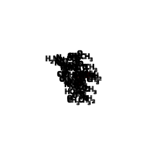 CC[C@H]1O[C@@H](n2cnc3c(N)ncnc32)CC1OP(O)(=S)OC[C@H]1O[C@@H](n2cnc3c(N)ncnc32)[C@@H](OCCOC)C1OP(O)(=S)OC[C@H]1O[C@@H](n2cc(C)c(=O)[nH]c2=O)[C@@H](OCCOC)C1OP(O)(=S)OC[C@H]1O[C@@H](n2cc(C)c(N)nc2=O)[C@@H](OCCOC)C1OP(O)(=S)OC[C@H]1O[C@@H](n2cc(C)c(N)nc2=O)[C@@H](OCCOC)C1OP(O)(=S)OC[C@H]1O[C@@H](n2cc(C)c(N)nc2=O)[C@@H](OCCOC)C1O